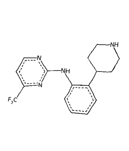 FC(F)(F)c1ccnc(Nc2ccccc2C2CCNCC2)n1